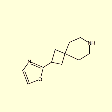 c1coc(C2CC3(CCNCC3)C2)n1